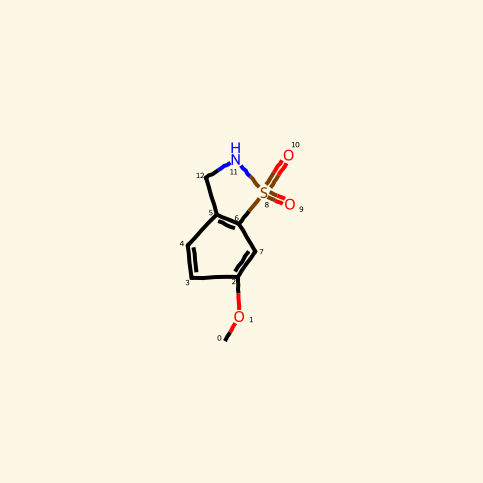 COc1ccc2c(c1)S(=O)(=O)NC2